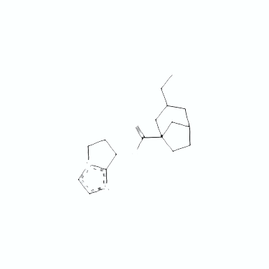 CCC1CC2CCC(C(=O)O[C@H]3CCn4ccnc43)(C1)C2